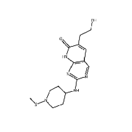 CSN1CCC(Nc2ncc3cc(CCO)c(=O)[nH]c3n2)CC1